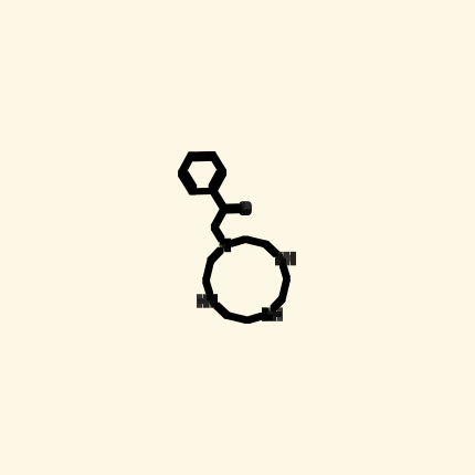 O=C(CN1CCNCCNCCNCC1)c1ccccc1